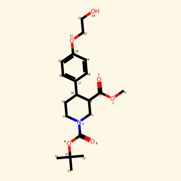 COC(=O)C1CN(C(=O)OC(C)(C)C)CCC1c1ccc(OCCO)cc1